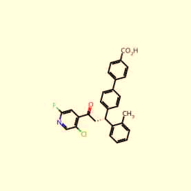 Cc1ccccc1[C@H](CC(=O)c1cc(F)ncc1Cl)c1ccc(-c2ccc(C(=O)O)cc2)cc1